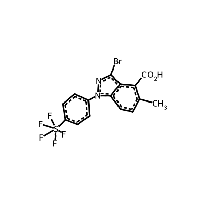 Cc1ccc2c(c(Br)nn2-c2ccc(S(F)(F)(F)(F)F)cc2)c1C(=O)O